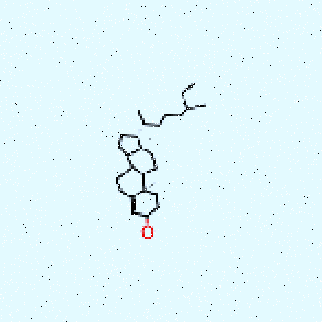 CC[C@@H](C)CCCC(C)[C@H]1CCC2C3CCC4=CC(=O)CC[C@]4(C)C3CC[C@@]21C